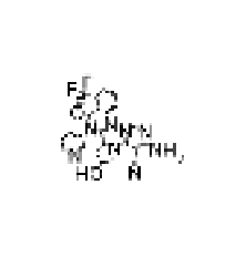 N#Cc1c(N)ncnc1N1C[C@@H](O)C[C@H]1c1nc2cccc(C(F)(F)F)c2c(=O)n1-c1cccnc1